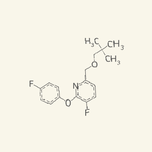 CC(C)(C)COCc1ccc(F)c(Oc2ccc(F)cc2)n1